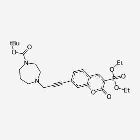 CCOP(=O)(OCC)c1cc2ccc(C#CCN3CCCN(C(=O)OC(C)(C)C)CC3)cc2oc1=O